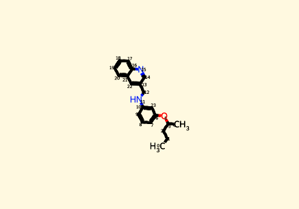 CCCC(C)Oc1cccc(NCc2cnc3ccccc3c2)c1